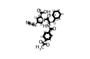 CS(=O)(=O)c1ccc(C(=O)N[C@H](CC2CCCCC2)C(=O)N2C[C@@H](N=[N+]=[N-])C[C@H]2C(=O)O)cc1